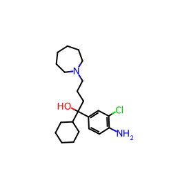 Nc1ccc(C(O)(CCCN2CCCCCC2)C2CCCCC2)cc1Cl